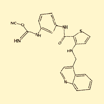 N#COC(=N)Nc1cccc(NC(=O)c2sccc2NCc2ccnc3ccccc23)c1